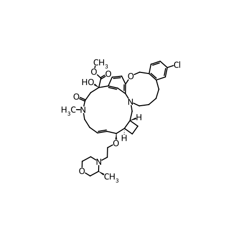 COC(=O)[C@@]1(O)CC(=O)N(C)CC/C=C/[C@H](OCCN2CCOC[C@@H]2C)[C@@H]2CC[C@H]2CN2CCCCc3cc(Cl)ccc3COc3ccc1cc32